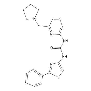 O=C(Nc1cccc(CN2CCCC2)n1)Nc1csc(-c2ccccc2)n1